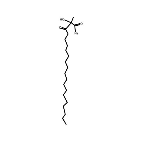 CCCCCCCCCCCCCCCCCC(=O)C(C)(O)[C](=O)[Na]